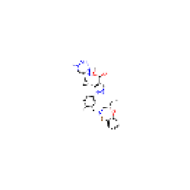 CC[C@@H]1CN(Cc2cc(-n3ncc(C(=O)OC)c3[C@@H]3CC3/C(N)=C/N(C)N)ccc2C)Sc2ccccc2O1